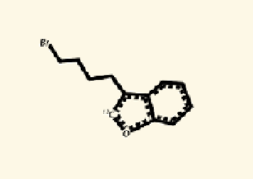 BrCCCCc1[12cH]oc2ccccc12